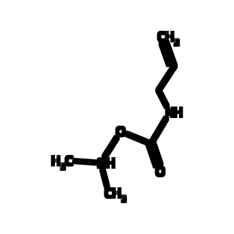 C=CCNC(=O)O[SiH](C)C